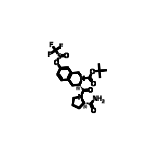 CC(C)(C)OC(=O)N1Cc2cc(OS(=O)C(F)(F)F)ccc2C[C@H]1C(=O)N1CCC[C@H]1C(N)=O